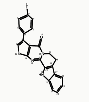 O=c1c2c(-c3ccc(F)cc3)csc2nc2n1CCc1c-2[nH]c2ccccc12